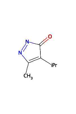 CC1=C(C(C)C)C(=O)N=N1